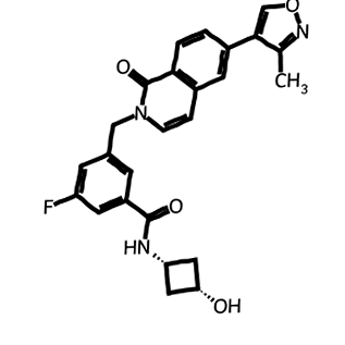 Cc1nocc1-c1ccc2c(=O)n(Cc3cc(F)cc(C(=O)N[C@H]4C[C@@H](O)C4)c3)ccc2c1